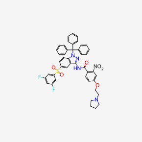 O=C(Nc1nn(C(c2ccccc2)(c2ccccc2)c2ccccc2)c2ccc(S(=O)(=O)c3cc(F)cc(F)c3)cc12)c1ccc(OCCN2CCCC2)cc1[N+](=O)[O-]